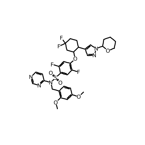 COc1ccc(CN(c2ccncn2)S(=O)(=O)c2cc(F)c(OC3CC(F)(F)CCC3c3cnn(C4CCCCO4)c3)cc2F)c(OC)c1